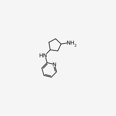 NC1CCC(Nc2ccccn2)C1